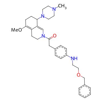 COC1=C2CCN(C(=O)Cc3ccc(NCCOCc4ccccc4)cc3)C=C2C(N2CCN(C)CC2)CC1